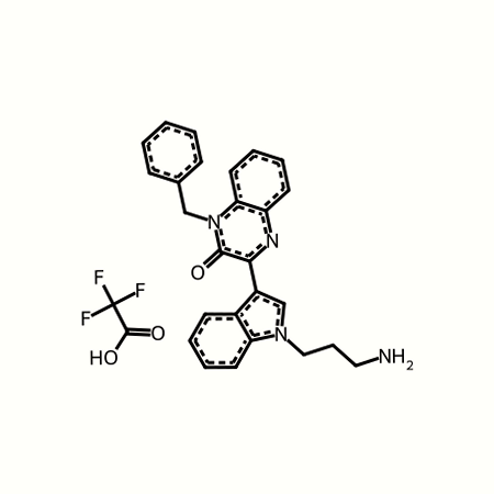 NCCCn1cc(-c2nc3ccccc3n(Cc3ccccc3)c2=O)c2ccccc21.O=C(O)C(F)(F)F